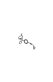 CC1CCN(C(=O)c2ccc(C#CCBr)cc2)C1